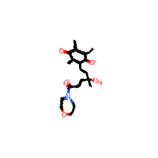 CC1=C(C)C(=O)C(CCC(C)(O)CCC(=O)N2CCOCC2)=C(C)C1=O